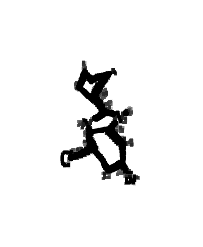 Cn1c(C2CCC2)nc2c(Cl)cc(Br)cc21